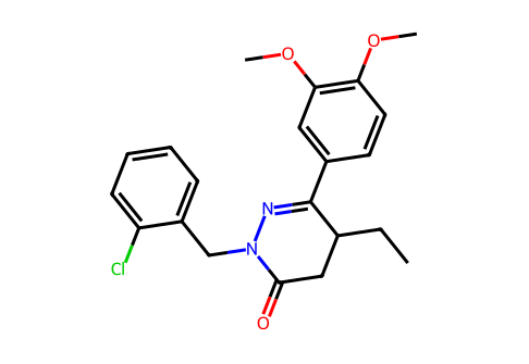 CCC1CC(=O)N(Cc2ccccc2Cl)N=C1c1ccc(OC)c(OC)c1